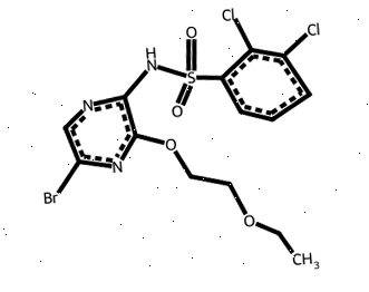 CCOCCOc1nc(Br)cnc1NS(=O)(=O)c1cccc(Cl)c1Cl